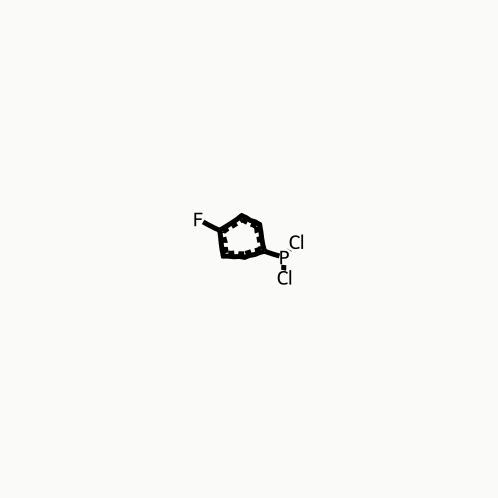 Fc1ccc(P(Cl)Cl)cc1